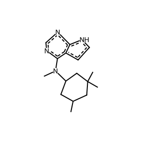 CC1CC(N(C)c2ncnc3[nH]ccc23)CC(C)(C)C1